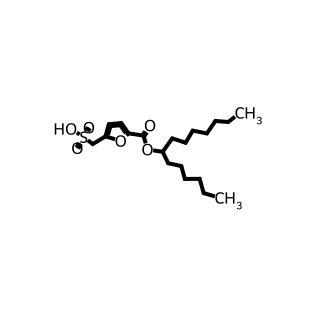 CCCCCCCC(CCCCCC)OC(=O)C1=C=C=C(CS(=O)(=O)O)O1